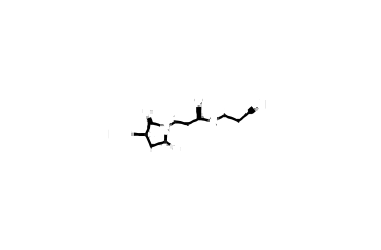 C#CCCNC(=O)CCN1C(=O)C(C)CC1O